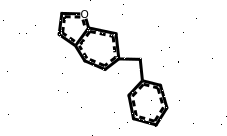 c1ccc(Cc2ccc3ccoc3c2)cc1